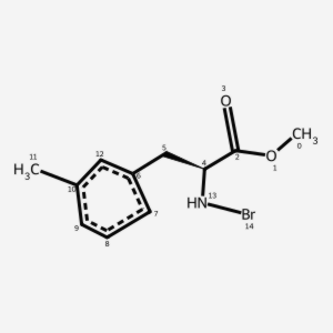 COC(=O)[C@H](Cc1cccc(C)c1)NBr